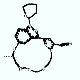 C[C@H]1COCCOCCn2cc(cc2C#N)-c2nn(C3CCCCO3)c3ccc(cc23)O1